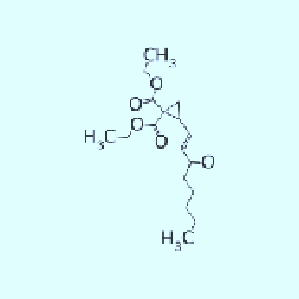 CCCCCC(=O)C=CC1CC1(C(=O)OCC)C(=O)OCC